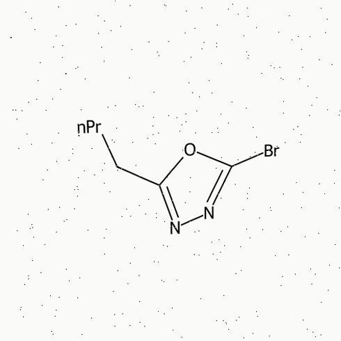 CCCCc1nnc(Br)o1